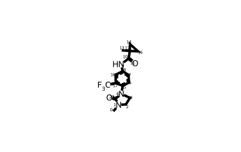 CN1CCN(c2ccc(NC(=O)C3(C)CC3)cc2C(F)(F)F)C1=O